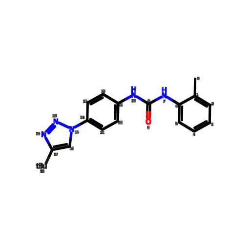 Cc1ccccc1NC(=O)Nc1ccc(-n2cc(C(C)(C)C)nn2)cc1